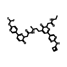 CCNC(=O)Cn1nc(-c2cnc(NC34CC(C3)C4)nc2)cc(CC[C@H](C)NC(=O)Cn2nc(-c3ccc(OC(F)F)nc3)ccc2=O)c1=O